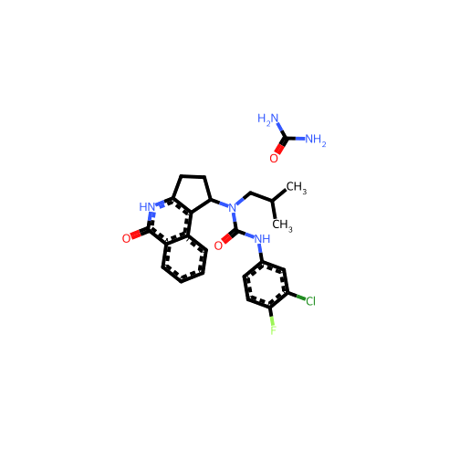 CC(C)CN(C(=O)Nc1ccc(F)c(Cl)c1)C1CCc2[nH]c(=O)c3ccccc3c21.NC(N)=O